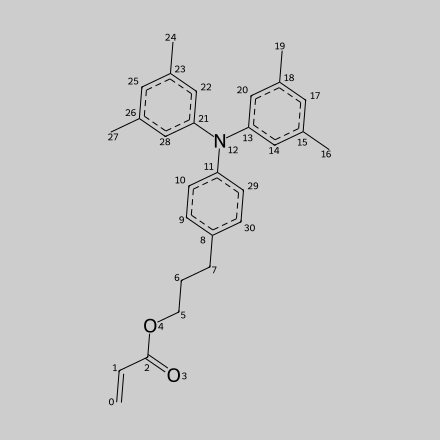 C=CC(=O)OCCCc1ccc(N(c2cc(C)cc(C)c2)c2cc(C)cc(C)c2)cc1